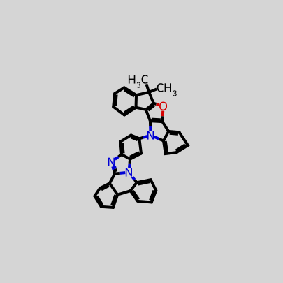 CC1(C)c2ccccc2-c2c1oc1c3ccccc3n(-c3ccc4nc5c6ccccc6c6ccccc6n5c4c3)c21